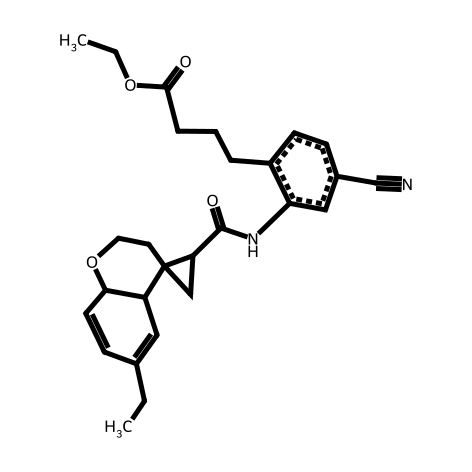 CCOC(=O)CCCc1ccc(C#N)cc1NC(=O)C1CC12CCOC1C=CC(CC)=CC12